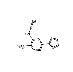 B=BNc1cc(-n2cccc2)ccc1C(=O)O